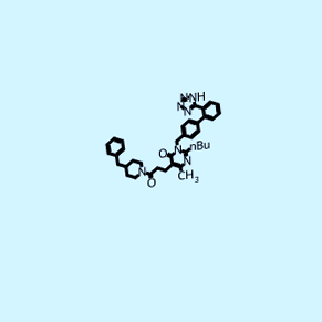 CCCCc1nc(C)c(CCC(=O)N2CCC(Cc3ccccc3)CC2)c(=O)n1Cc1ccc(-c2ccccc2-c2nnn[nH]2)cc1